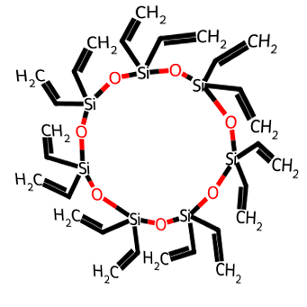 C=C[Si]1(C=C)O[Si](C=C)(C=C)O[Si](C=C)(C=C)O[Si](C=C)(C=C)O[Si](C=C)(C=C)O[Si](C=C)(C=C)O[Si](C=C)(C=C)O1